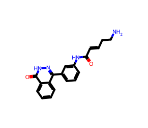 NCC/C=C/C(=O)Nc1cccc(-c2n[nH]c(=O)c3ccccc23)c1